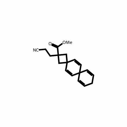 COC(=O)C1(CCC#N)CC2(C=CC3(C=CCC=C3)C=C2)C1